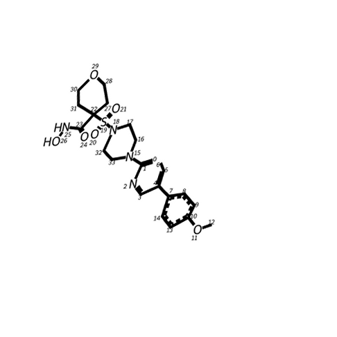 C=C(/N=C\C(=C/C)c1ccc(OC)cc1)N1CCN(S(=O)(=O)C2(C(=O)NO)CCOCC2)CC1